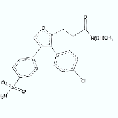 CN(O)C(=O)CCc1occ(-c2ccc(S(N)(=O)=O)cc2)c1-c1ccc(Cl)cc1